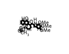 COc1cc2cc(C(=O)C3CCCN(COS(C)(=O)=O)c4c3cc(O)c3ccccc43)[nH]c2c(OC)c1OC